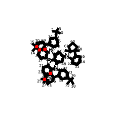 CC(C)(C)c1ccc(N2c3cc(C(C)(C)C)ccc3B3c4ccc(C(C)(C)C)cc4N(c4ccc(C(C)(C)C)cc4-c4ccccc4)c4cc(N5c6ccccc6C6(C)CCCC56C)cc2c43)c(-c2ccccc2)c1